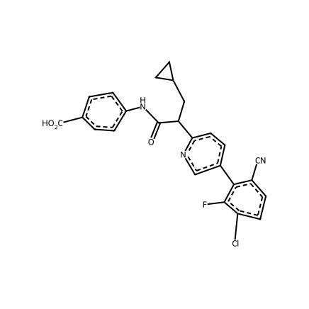 N#Cc1ccc(Cl)c(F)c1-c1ccc(C(CC2CC2)C(=O)Nc2ccc(C(=O)O)cc2)nc1